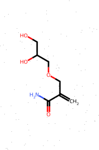 C=C(COCC(O)CO)C(N)=O